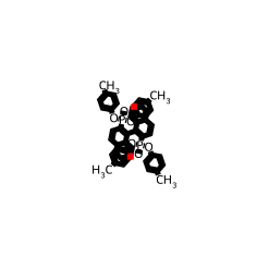 Cc1ccc(OP(=O)(Oc2ccc(C)cc2)c2ccc3ccccc3c2-c2c(P(=O)(Oc3ccc(C)cc3)Oc3ccc(C)cc3)ccc3ccccc23)cc1